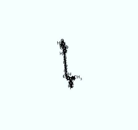 Cn1cc2c3cc(C(=O)NCCOCCOCCOCCOCCNc4ccc5c(c4)C(=O)N(C4CCC(=O)NC4=O)C5=O)ccc3n(-c3ccc(C(F)(F)F)cc3)c2n1